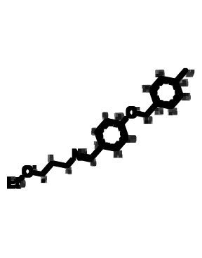 CCOCCCN=Cc1ccc(OCc2ccc(C)cc2)cc1